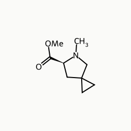 COC(=O)[C@@H]1CC2(CC2)CN1C